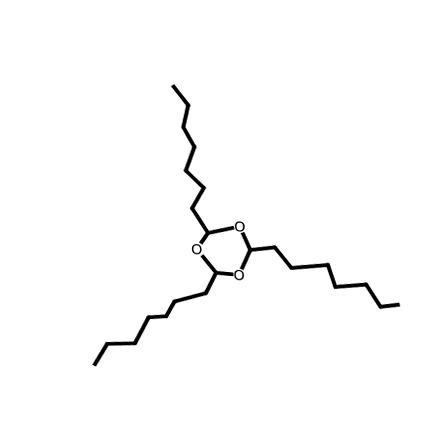 CCCCCCCC1OC(CCCCCCC)OC(CCCCCCC)O1